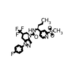 CCC[C@H](NC(=O)N1CC(C(F)(F)F)Cc2c1cnn2-c1ccc(F)cc1)c1ccnc(S(C)(=O)=O)c1